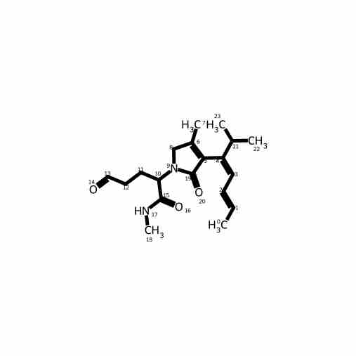 C/C=C/C=C(\C1=C(C)CN(C(CCC=O)C(=O)NC)C1=O)C(C)C